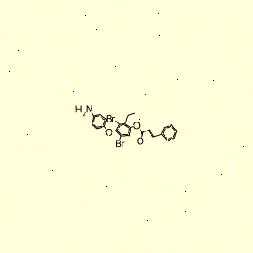 CCc1c(OC(=O)C=Cc2ccccc2)cc(Br)c(Oc2ccc(N)cc2)c1Br